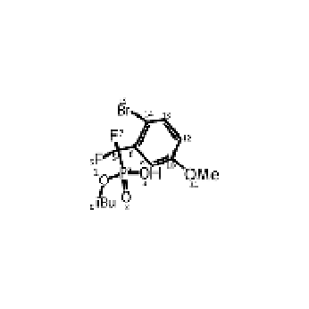 CCC(C)OP(=O)(O)C(F)(F)c1cc(OC)ccc1Br